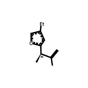 C=C(C)[C@@H](C)c1cc(CC)co1